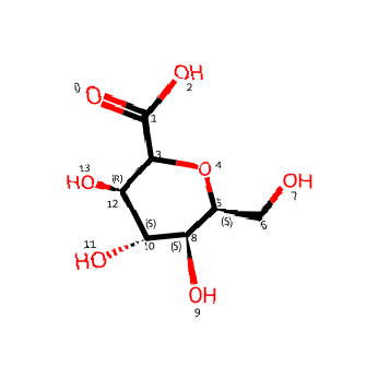 O=C(O)C1O[C@@H](CO)[C@@H](O)[C@H](O)[C@H]1O